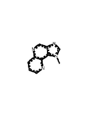 Cn1cnc2cnc3cccnc3c21